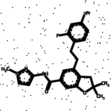 CCCc1ccc(CCc2cc(C(=O)Nc3ccn(C)n3)cc3c2CC(C)(C)O3)c(F)c1